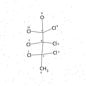 CC(Cl)(Cl)C(Cl)(Cl)C([O])(Cl)Cl